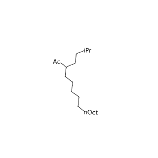 CCCCCCCCCCCCCC(CCC(C)C)C(C)=O